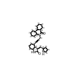 O=C1Nc2cccc(C#CCn3c(=O)c4ccccc4c4ccccc43)c2C1=Cc1ccc[nH]1